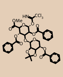 COC(=O)C1O[C@H](OC(=N)C(Cl)(Cl)Cl)C(OC(=O)c2ccccc2)C(O[C@H]2OC[C@@H](OC(=O)c3ccccc3)C3OC(C)(C)OC32)[C@@H]1OC(=O)c1ccccc1